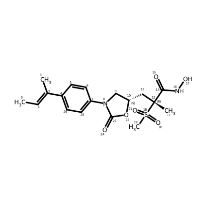 CC=C(C)c1ccc(N2C[C@H](C[C@](C)(C(=O)NO)S(C)(=O)=O)OC2=O)cc1